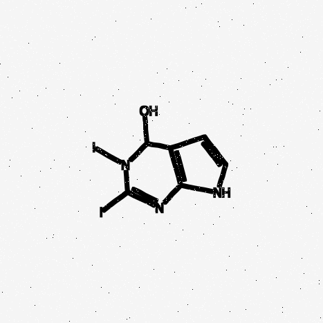 OC1c2cc[nH]c2N=C(I)N1I